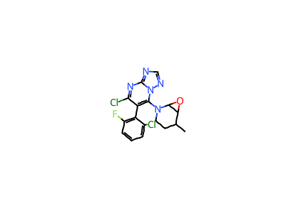 CC1CCN(c2c(-c3c(F)cccc3Cl)c(Cl)nc3ncnn23)C2OC12